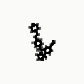 CC1(c2ccc(C#N)cc2Nc2ccc(CCN3CCOCC3)cc2)OCCO1